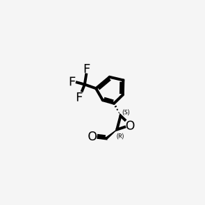 O=C[C@@H]1O[C@H]1c1cccc(C(F)(F)F)c1